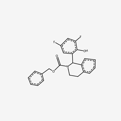 O=C(OCc1ccccc1)N1CCc2ccccc2C1c1cc(F)cc(F)c1O